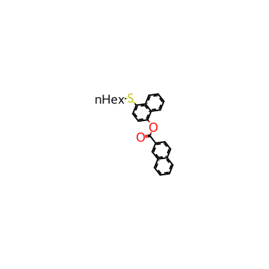 CCCCCCSc1ccc(OC(=O)c2ccc3ccccc3c2)c2ccccc12